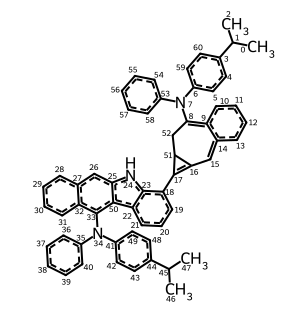 CC(C)c1ccc(N(C2=c3ccccc3=CC3=C(c4cccc5c4[nH]c4cc6ccccc6c(N(c6ccccc6)c6ccc(C(C)C)cc6)c45)C3C2)c2ccccc2)cc1